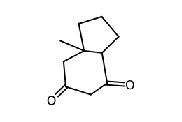 CC12CCCC1C(=O)CC(=O)C2